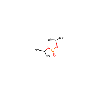 CCCC(CCC)O[PH](=O)OC(CCC)CCC